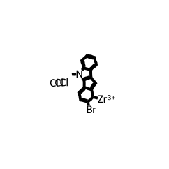 Cn1c2c(c3ccccc31)C=C1C2=CC=C(Br)[CH]1[Zr+3].[Cl-].[Cl-].[Cl-]